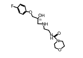 O=C(NCCNC[C@H](O)COc1ccc(F)cc1)N1CCOCC1